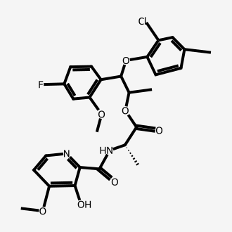 COc1cc(F)ccc1C(Oc1ccc(C)cc1Cl)C(C)OC(=O)[C@H](C)NC(=O)c1nccc(OC)c1O